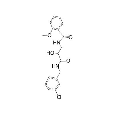 COc1ccccc1C(=O)NCC(O)C(=O)NCc1cccc(Cl)c1